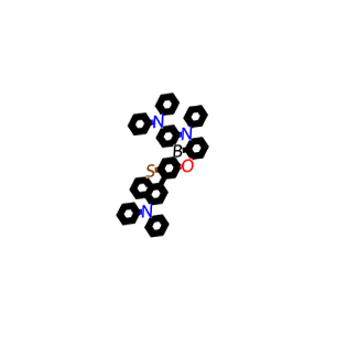 c1ccc(N(c2ccccc2)c2ccc3c(c2)N(c2ccccc2)c2cccc4c2B3c2cc3c(cc2O4)-c2ccc(N(c4ccccc4)c4ccccc4)c4cccc(c24)S3)cc1